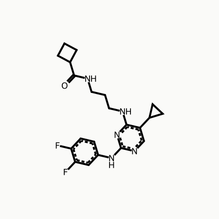 O=C(NCCCNc1nc(Nc2ccc(F)c(F)c2)ncc1C1CC1)C1CCC1